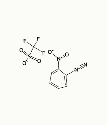 N#[N+]c1ccccc1[N+](=O)[O-].O=S(=O)([O-])C(F)(F)F